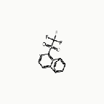 O=S(=O)(c1[c]ccc2c3ccc(cc3)c12)C(F)(F)F